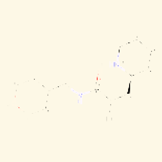 CCC(C[C@@H]1CCCCN1)C(=O)NCC1CCOCC1